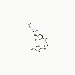 CN(C)C/C=C/C(=O)Nc1ccc(C(=O)N2CCC(Nc3ncc(Cl)cn3)C2)cc1F